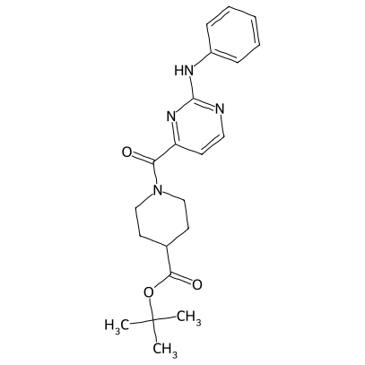 CC(C)(C)OC(=O)C1CCN(C(=O)c2ccnc(Nc3ccccc3)n2)CC1